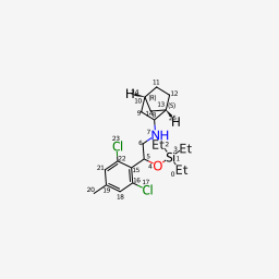 CC[Si](CC)(CC)OC(CNC1C[C@@H]2CC[C@H]1C2)c1c(Cl)cc(C)cc1Cl